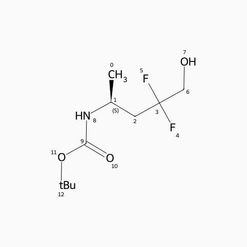 C[C@@H](CC(F)(F)CO)NC(=O)OC(C)(C)C